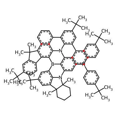 CC(C)(C)c1ccc(N(c2ccc(C(C)(C)C)cc2)c2cc3c4c(c2)N2c5c(cc(C(C)(C)C)cc5C5(C)CCCCC25C)B4c2c(ccc4c2-c2ccc(C(C)(C)C)cc2C4(C)C)N3c2c(-c3ccccc3)cc(C(C)(C)C)cc2-c2ccccc2)cc1